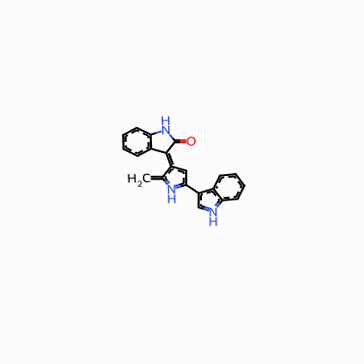 C=c1[nH]c(-c2c[nH]c3ccccc23)c/c1=C1\C(=O)Nc2ccccc21